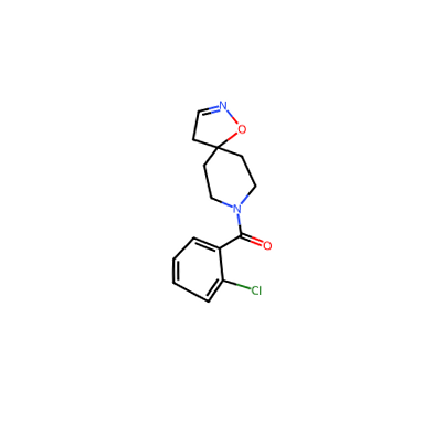 O=C(c1ccccc1Cl)N1CCC2(CC=NO2)CC1